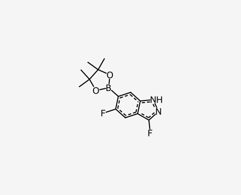 CC1(C)OB(c2cc3[nH]nc(F)c3cc2F)OC1(C)C